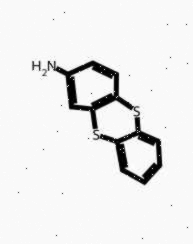 Nc1ccc2c(c1)Sc1ccccc1S2